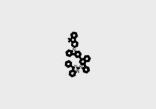 CC1(C)C2=C(C=CC(n3c4ccccc4c4cc(-c5cc6c(c7ccccc57)c5ccccc5n6-c5nc(-c6ccccc6)c6ccccc6n5)ccc43)C2)c2ccccc21